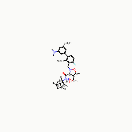 COc1c(-c2cc(C(=O)O)cc(N(C)C)c2)ccc(F)c1CN1O[C@@H](C)[C@@H]([C@H](C)O)[C@H]1C(=O)N[C@H]1C[C@H]2C[C@@H]([C@@H]1C)C2(C)C